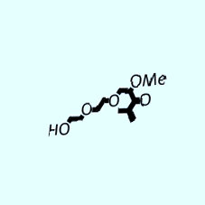 C=C(C)C(=O)C(COCCOCCO)OC